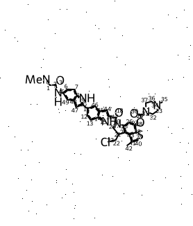 CNCC(=O)Nc1ccc2[nH]c(-c3ccc4[nH]c(C(=O)N5CC(CCl)c6c5cc(OC(=O)N5CCN(C)CC5)c5scc(C)c65)cc4c3)cc2c1